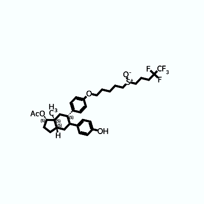 CC(=O)O[C@H]1CC[C@H]2CC(c3ccc(O)cc3)[C@@H](c3ccc(OCCCCC[S+]([O-])CCCC(F)(F)C(F)(F)F)cc3)C[C@@]21C